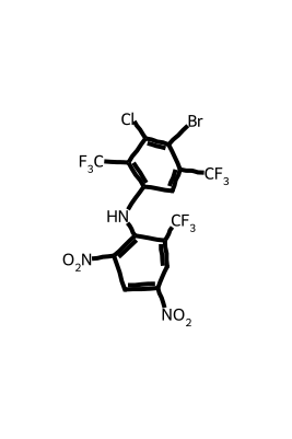 O=[N+]([O-])c1cc([N+](=O)[O-])c(Nc2cc(C(F)(F)F)c(Br)c(Cl)c2C(F)(F)F)c(C(F)(F)F)c1